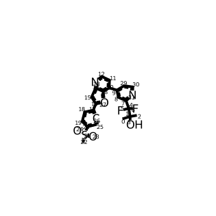 CC(C)(O)C(F)(F)c1cc(-c2ccnc3cc(-c4ccc(S(C)(=O)=O)cc4)oc23)ccn1